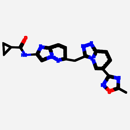 Cc1nc(-c2ccc3nnc(Cc4ccc5nc(NC(=O)C6CC6)cn5n4)n3c2)no1